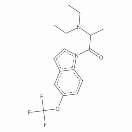 CCN(CC)C(C)C(=O)n1ccc2cc(OC(F)(F)F)ccc21